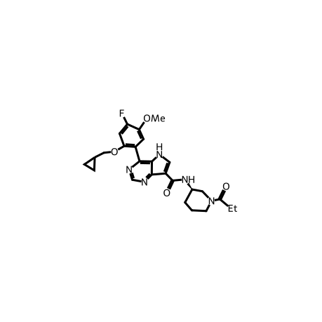 CCC(=O)N1CCC[C@@H](NC(=O)c2c[nH]c3c(-c4cc(OC)c(F)cc4OCC4CC4)ncnc23)C1